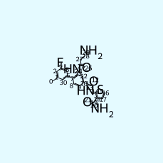 Cc1cc(F)cc(-c2ccc(C(=O)Nc3sccc3C(N)=O)cc2NC(=O)CCN)c1